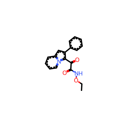 CCONC(=O)C(=O)c1c(-c2ccccc2)cc2ccccn12